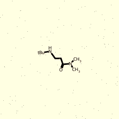 CN(C)C(=O)CCNC(C)(C)C